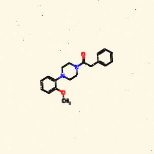 COc1ccccc1N1CCN(C(=O)Cc2ccccc2)CC1